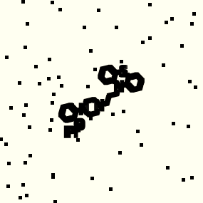 CC(C)Oc1ccccc1N1CCN(CCCN2c3ccccc3Sc3ccccc32)CC1